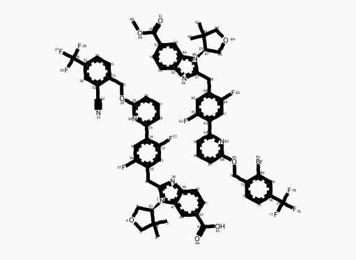 CC1(C)COC[C@H]1n1c(Cc2cc(F)c(-c3cccc(OCc4ccc(C(F)(F)F)cc4C#N)n3)cc2F)nc2ccc(C(=O)O)cc21.COC(=O)c1ccc2nc(Cc3cc(F)c(-c4cccc(OCc5ccc(C(F)(F)F)cc5Br)n4)cc3F)n([C@@H]3COCC3(C)C)c2c1